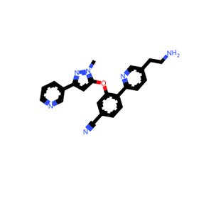 Cn1nc(-c2cccnc2)cc1Oc1cc(C#N)ccc1-c1ccc(CCN)cn1